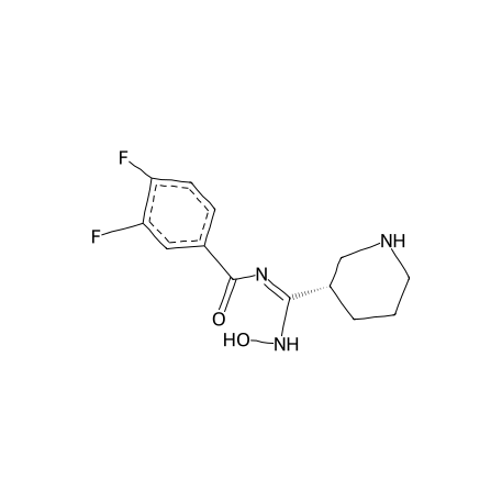 O=C(N=C(NO)[C@H]1CCCNC1)c1ccc(F)c(F)c1